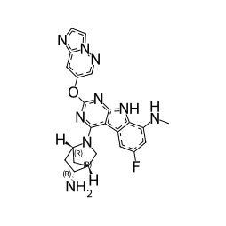 CNc1cc(F)cc2c1[nH]c1nc(Oc3cnn4ccnc4c3)nc(N3C[C@H]4C[C@@H]3C[C@H]4N)c12